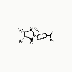 CC1=C(C)C(=O)N(c2ccc(C(=O)O)cc2Cl)C1=O